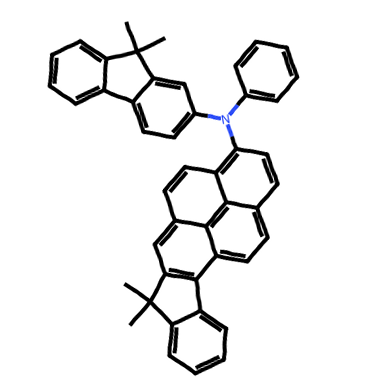 CC1(C)c2ccccc2-c2ccc(N(c3ccccc3)c3ccc4ccc5c6c(cc7ccc3c4c75)C(C)(C)c3ccccc3-6)cc21